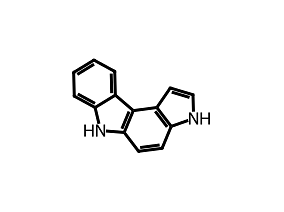 c1ccc2c(c1)[nH]c1ccc3[nH]ccc3c12